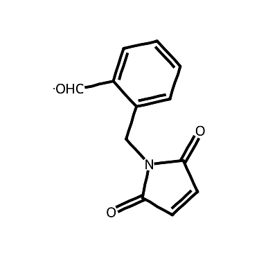 O=[C]c1ccccc1CN1C(=O)C=CC1=O